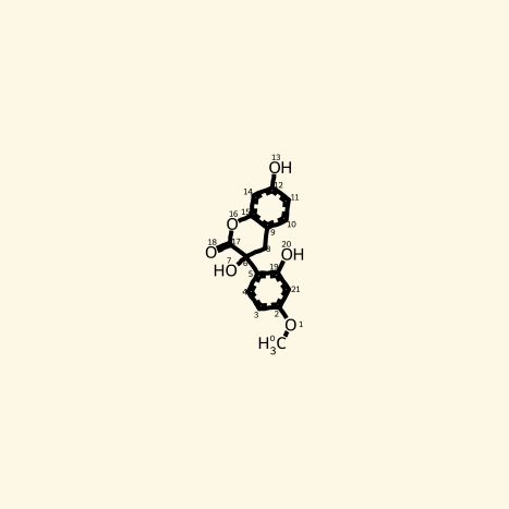 COc1ccc(C2(O)Cc3ccc(O)cc3OC2=O)c(O)c1